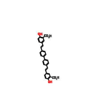 O=C(O)c1cc(C=Cc2ccc(-c3ccc(C=Cc4ccc(O)c(C(=O)O)c4)cc3)cc2)ccc1O